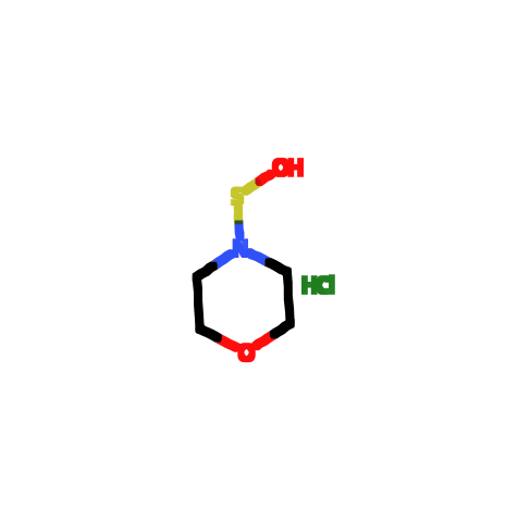 Cl.OSN1CCOCC1